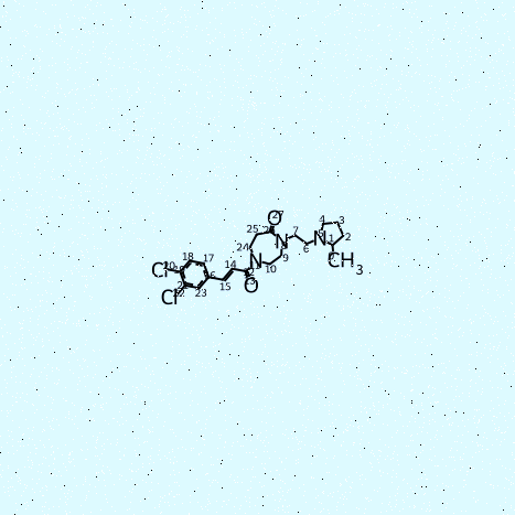 CC1CCCN1CCN1CCN(C(=O)/C=C/c2ccc(Cl)c(Cl)c2)CCC1=O